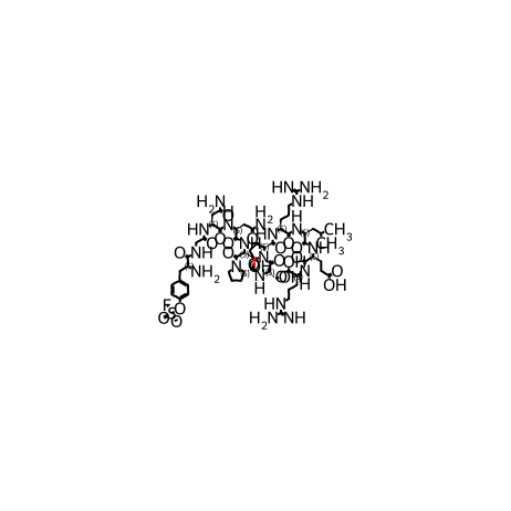 CC(C)C[C@H](NC(=O)[C@H](CCCNC(=N)N)NC(=O)[C@@H]1CCCN1C(=O)[C@H](CO)NC(=O)[C@@H]1CCCN1C(=O)[C@H](CO)NC(=O)[C@H](CC(N)=O)NC(=O)[C@H](CC(N)=O)NC(=O)CNC(=O)[C@@H](N)Cc1ccc(OS(=O)(=O)F)cc1)C(=O)N[C@@H](CCC(=O)O)C(=O)N[C@@H](CCCNC(=N)N)C(=O)O